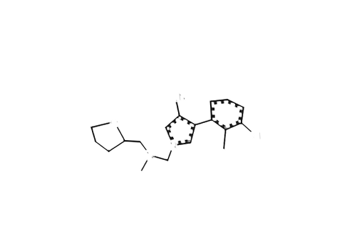 Cc1c(-c2cn(CN(C)CC3CCCO3)cc2C#N)cccc1C(F)(F)F